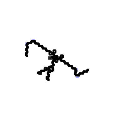 CCCCC/C=C\C/C=C\CCCCCCCCOC(=O)C(CNC(=O)CCCCCCC/C=C\C/C=C\CCCCC)NC(=O)CCN(CC)CC(OCCOC)OCCOC